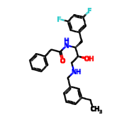 CCc1cccc(CNC[C@H](O)[C@H](Cc2cc(F)cc(F)c2)NC(=O)Cc2ccccc2)c1